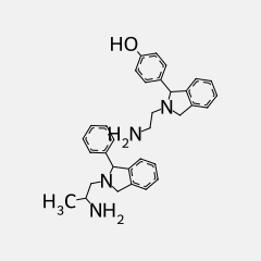 CC(N)CN1Cc2ccccc2C1c1ccccc1.NCCN1Cc2ccccc2C1c1ccc(O)cc1